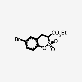 CCOC(=O)C1Cc2cc(Br)ccc2OS1(=O)=O